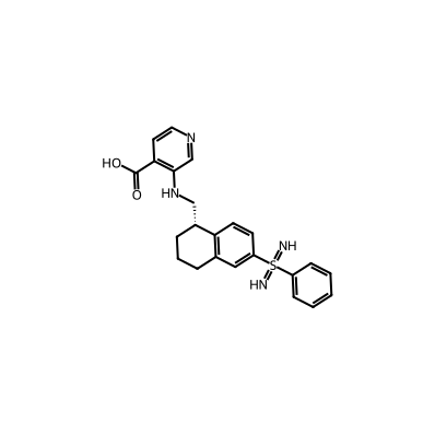 N=S(=N)(c1ccccc1)c1ccc2c(c1)CCC[C@@H]2CNc1cnccc1C(=O)O